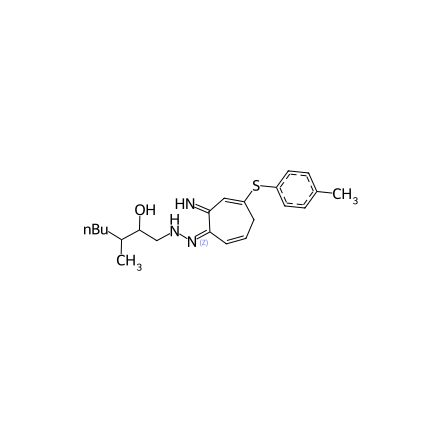 CCCCC(C)C(O)CN/N=C1/C=CCC(Sc2ccc(C)cc2)=CC1=N